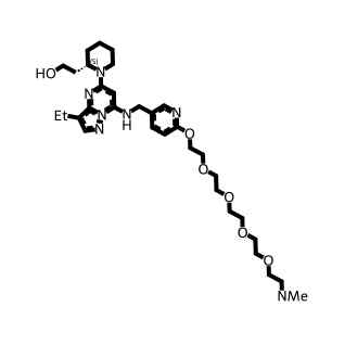 CCc1cnn2c(NCc3ccc(OCCOCCOCCOCCOCCNC)nc3)cc(N3CCCC[C@H]3CCO)nc12